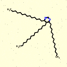 CCCCCCCCCCCCCCc1n[c]nc(CCCCCCCCCCCCCC)c1CCCCCCCCCCCCCC